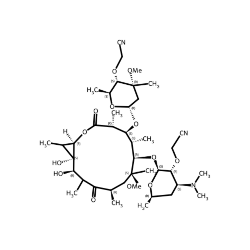 CO[C@]1(C)C[C@H](O[C@H]2[C@H](C)[C@@H](O[C@@H]3O[C@H](C)C[C@H](N(C)C)[C@H]3OCC#N)[C@@](C)(OC)C[C@@H](C)C(=O)C(C)[C@@H](O)[C@@]3(O)C(C)[C@H]3OC(=O)[C@@H]2C)O[C@@H](C)[C@@H]1OCC#N